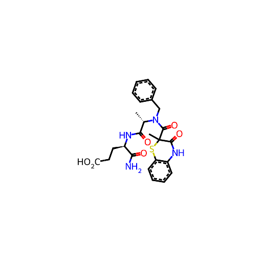 C[C@@H](C(=O)N[C@H](CCC(=O)O)C(N)=O)N(Cc1ccccc1)C(=O)C1(C)Sc2ccccc2NC1=O